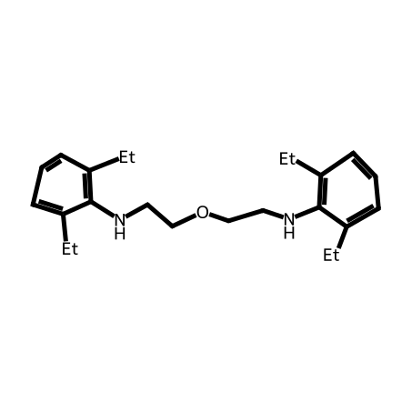 CCc1cccc(CC)c1NCCOCCNc1c(CC)cccc1CC